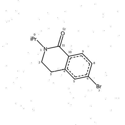 CC(C)N1CCc2cc(Br)ccc2C1=O